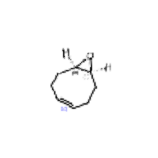 C1=C\CC[C@H]2O[C@H]2CC/1